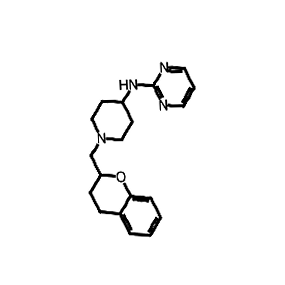 c1cnc(NC2CCN(CC3CCc4ccccc4O3)CC2)nc1